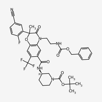 CC(C)(C)OC(=O)N1CCC[C@@H](NC(=O)c2cc3c(cc2C(F)(F)F)OC(C)(c2cc(C#N)ccc2F)C(=O)N3CCNC(=O)OCc2ccccc2)C1